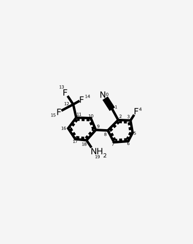 N#Cc1c(F)cccc1-c1cc(C(F)(F)F)ccc1N